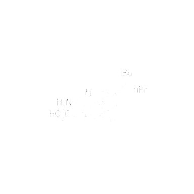 CCCC(C1=C[C@H]2[C@@H](C1)C[C@@]2(CN)CC(=O)O)C(C)CC